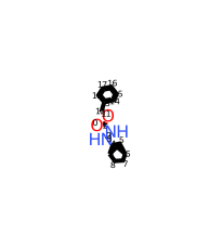 O=C(NNC1CC2CCC1C2)OCc1ccccc1